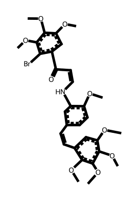 COc1ccc(/C=C\c2cc(OC)c(OC)c(OC)c2OC)cc1N/C=C\C(=O)c1cc(OC)c(OC)c(OC)c1Br